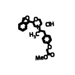 COC(=O)COc1ccc(CC(C)N2CCOC(c3occ4ccccc34)C2)cc1.Cl